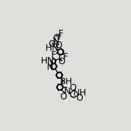 O=C1CCC(N2Cc3c(Bc4ccc(-c5cnc6[nH]cc(C(=O)c7c(F)ccc(NS(=O)(=O)N8CC[C@@H](F)C8)c7F)c6c5)cc4)cccc3C2=O)C(=O)N1